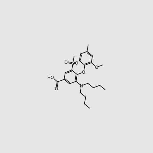 CCCCN(CCCC)c1cc(C(=O)O)cc(S(C)(=O)=O)c1Oc1ccc(C)cc1OC